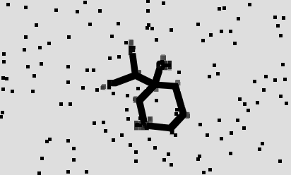 OC1(C(F)F)CCCNC1